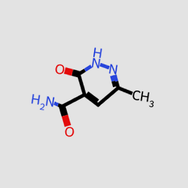 Cc1cc(C(N)=O)c(=O)[nH]n1